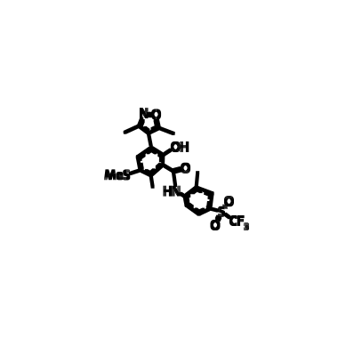 CSc1cc(-c2c(C)noc2C)c(O)c(C(=O)Nc2ccc(S(=O)(=O)C(F)(F)F)cc2C)c1C